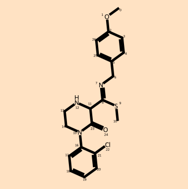 COc1ccc(CN=C(SC)C2NCCN(c3ccccc3Cl)C2=O)cc1